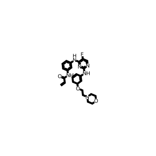 C=CC(=O)Nc1cccc(Nc2nc(NC3=CC(OCCN4CCOCC4)CC=C3)ncc2F)c1